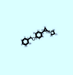 c1ccc(COc2ccc(C3CC3N3CCC3)cc2)cc1